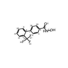 O=C(NO)c1ccc(-c2ccccc2C(F)(F)F)cc1